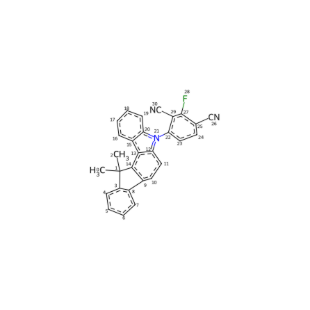 CC1(C)c2ccccc2-c2ccc3c(c21)c1ccccc1n3-c1ccc(C#N)c(F)c1C#N